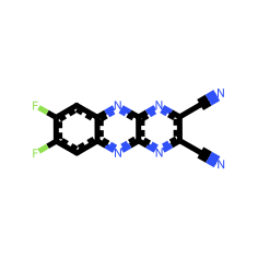 N#Cc1nc2nc3cc(F)c(F)cc3nc2nc1C#N